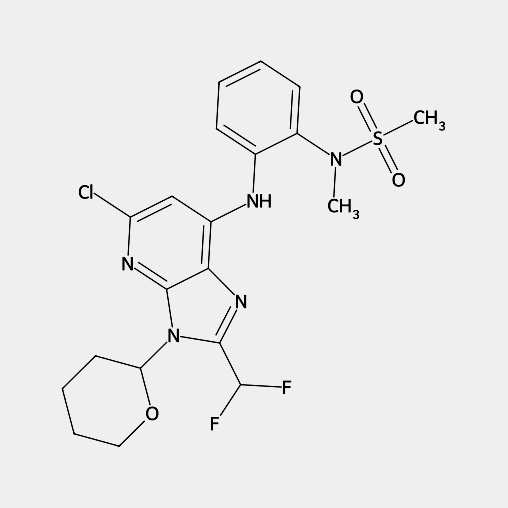 CN(c1ccccc1Nc1cc(Cl)nc2c1nc(C(F)F)n2C1CCCCO1)S(C)(=O)=O